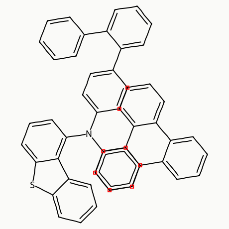 c1ccc(-c2ccccc2-c2ccc(N(c3ccccc3-c3ccccc3-c3ccccc3-c3ccccc3)c3cccc4sc5ccccc5c34)cc2)cc1